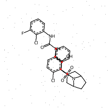 O=C(Nc1ccc(Cl)c(S(=O)(=O)N2C3CCC2CN(Cc2ccccc2)C3)c1O)Nc1cccc(F)c1Cl